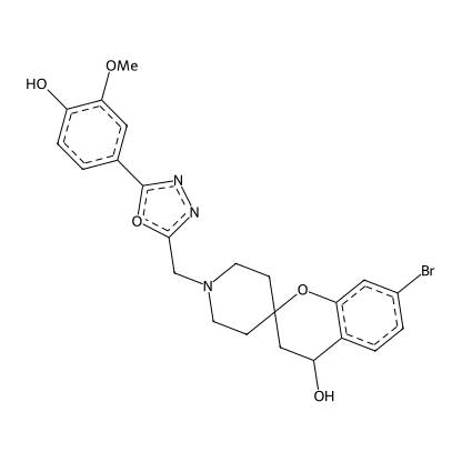 COc1cc(-c2nnc(CN3CCC4(CC3)CC(O)c3ccc(Br)cc3O4)o2)ccc1O